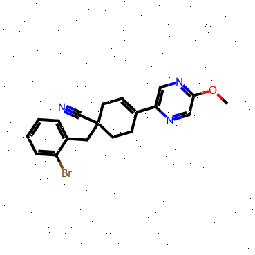 COc1cnc(C2=CCC(C#N)(Cc3ccccc3Br)CC2)cn1